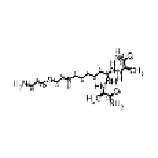 C=C(NNC(CCCCCNCCSSCCN)NNC(=C)C(N)=O)C(N)=O